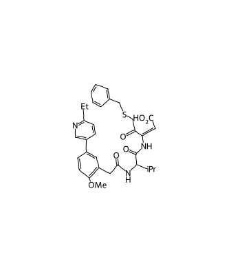 CCc1ccc(-c2ccc(OC)c(CC(=O)NC(C(=O)N/C(=C/C(=O)O)C(=O)CSCc3ccccc3)C(C)C)c2)cn1